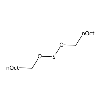 CCCCCCCCCOSOCCCCCCCCC